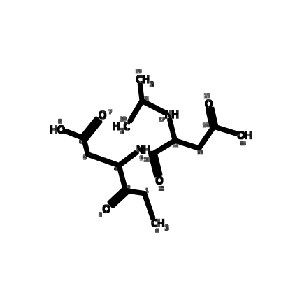 CCC(=O)C(CC(=O)O)NC(=O)C(CC(=O)O)NC(C)C